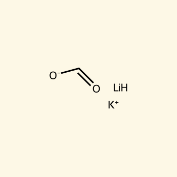 O=C[O-].[K+].[LiH]